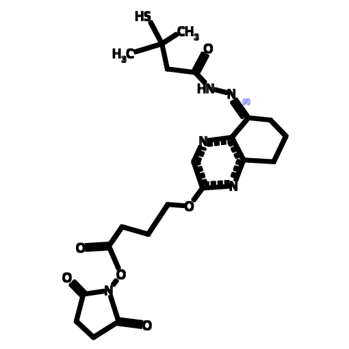 CC(C)(S)CC(=O)N/N=C1/CCCc2nc(OCCCC(=O)ON3C(=O)CCC3=O)cnc21